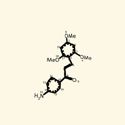 COc1cc(OC)c(C=CC(=O)c2ccc(N)cc2)c(OC)c1